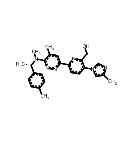 Cc1ccc([C@H](C)N(C)c2nnc(-c3ccc(-n4cnc(C)c4)c(CO)n3)cc2C)cc1